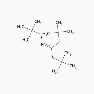 CC(C)(C)CN=C(CC(C)(C)C)CC(C)(C)C